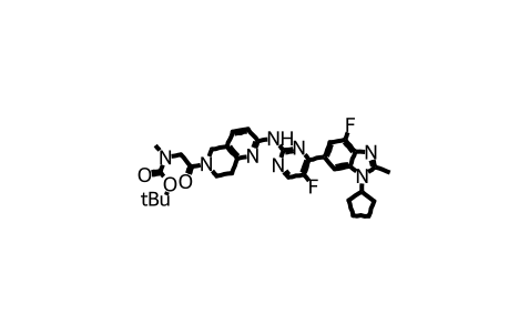 Cc1nc2c(F)cc(-c3nc(Nc4ccc5c(n4)CCN(C(=O)CN(C)C(=O)OC(C)(C)C)C5)ncc3F)cc2n1C1CCCC1